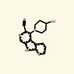 N#Cc1ncc2[nH]c3ncccc3c2c1N1CCC(O)CC1